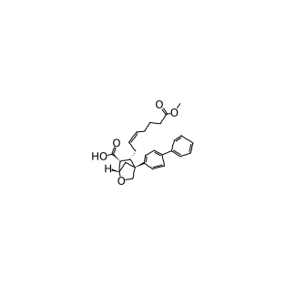 COC(=O)CCC/C=C\C[C@H]1[C@H](C(=O)O)[C@@H]2C[C@@]1(c1ccc(-c3ccccc3)cc1)CO2